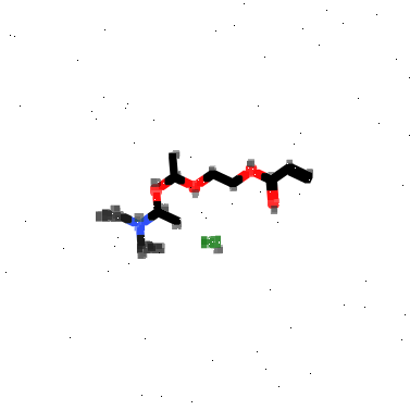 C=CC(=O)OCCOC(C)OC(C)N(CCCCCCCCCC)CCCCCCCCCC.Cl